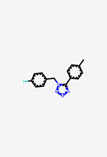 Cc1ccc(-c2nnnn2Cc2ccc(F)cc2)cc1